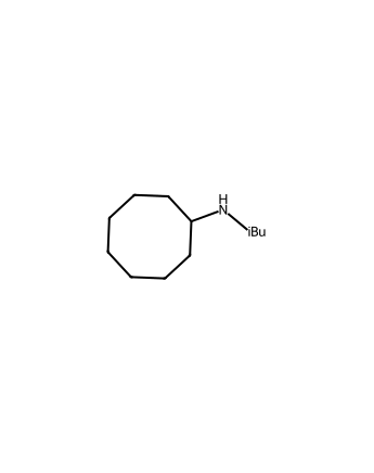 CCC(C)NC1CCCCCCC1